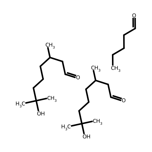 CC(CC=O)CCCC(C)(C)O.CC(CC=O)CCCC(C)(C)O.CCCCC=O